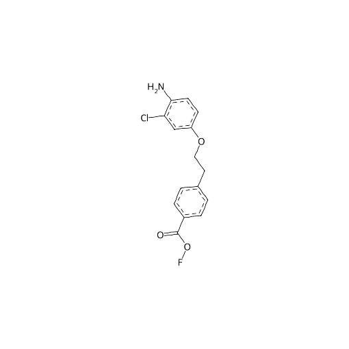 Nc1ccc(OCCc2ccc(C(=O)OF)cc2)cc1Cl